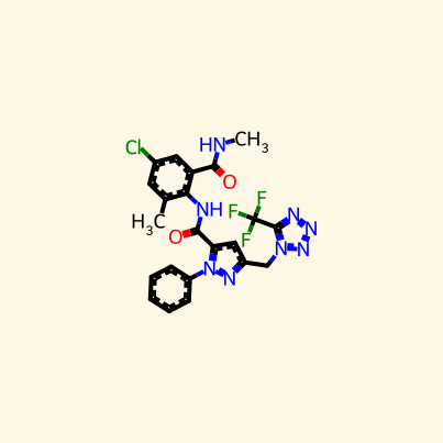 CNC(=O)c1cc(Cl)cc(C)c1NC(=O)c1cc(Cn2nnnc2C(F)(F)F)nn1-c1ccccc1